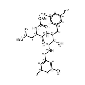 CCCCC(F)C[C@@H](NC(=O)OC)C(=O)N[C@@H](Cc1cc(F)cc(F)c1)[C@H](O)CNCC1=CC(C)CC(CC)=C1